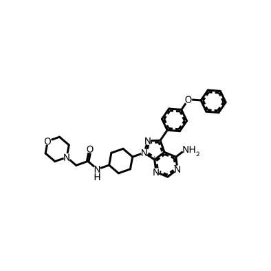 Nc1ncnc2c1c(-c1ccc(Oc3ccccc3)cc1)nn2C1CCC(NC(=O)CN2CCOCC2)CC1